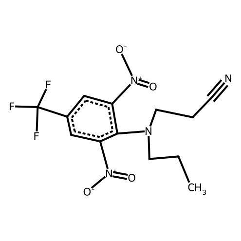 CCCN(CCC#N)c1c([N+](=O)[O-])cc(C(F)(F)F)cc1[N+](=O)[O-]